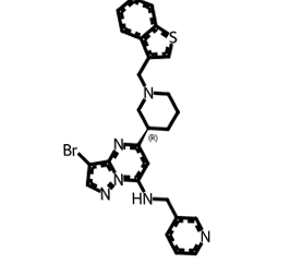 Brc1cnn2c(NCc3cccnc3)cc([C@@H]3CCCN(Cc4csc5ccccc45)C3)nc12